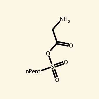 CCCCCS(=O)(=O)OC(=O)CN